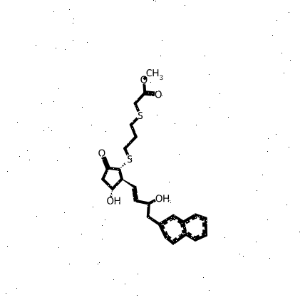 COC(=O)CSCCCS[C@H]1C(=O)C[C@@H](O)[C@@H]1C=CC(O)Cc1ccc2ccccc2c1